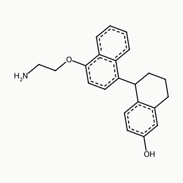 NCCOc1ccc(C2CCCc3cc(O)ccc32)c2ccccc12